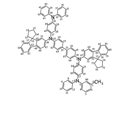 Cc1cccc(N(c2ccccc2)c2ccc(N(c3ccc(-c4ccc(N(c5ccc(N(c6ccccc6)c6ccccc6)cc5)c5ccc6c(c5)C5(CCCC5)c5ccccc5-6)cc4)cc3)c3ccc4c(c3)C3(CCCC3)c3ccccc3-4)cc2)c1